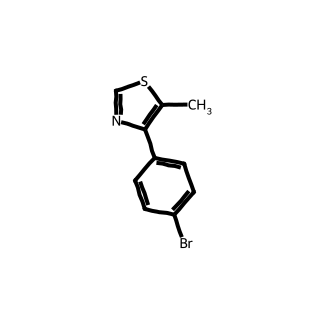 Cc1scnc1-c1ccc(Br)cc1